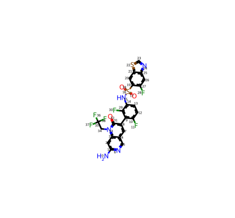 Nc1cc2c(cn1)cc(-c1c(F)ccc(NS(=O)(=O)c3cc4scnc4cc3F)c1F)c(=O)n2CC(F)(F)F